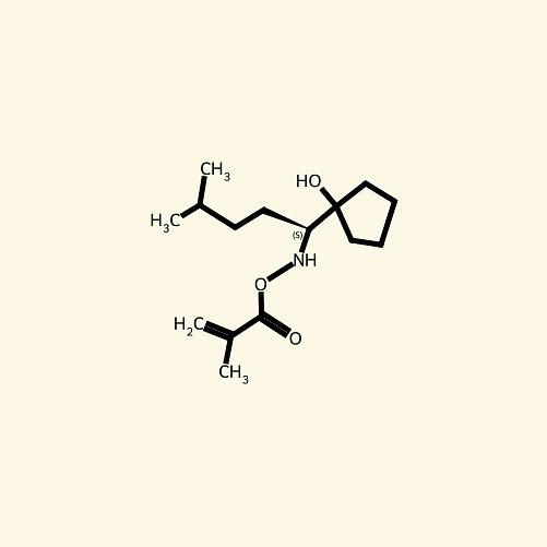 C=C(C)C(=O)ON[C@@H](CCC(C)C)C1(O)CCCC1